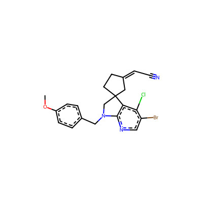 COc1ccc(CN2CC3(CCC(=CC#N)C3)c3c2ncc(Br)c3Cl)cc1